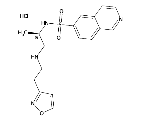 C[C@H](CNCCc1ccon1)NS(=O)(=O)c1ccc2cnccc2c1.Cl